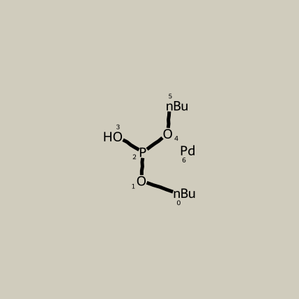 CCCCOP(O)OCCCC.[Pd]